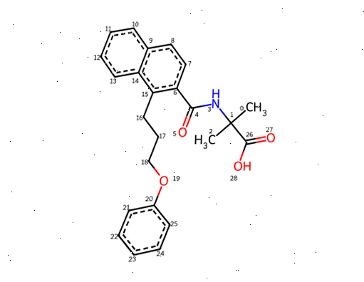 CC(C)(NC(=O)c1ccc2ccccc2c1CCCOc1ccccc1)C(=O)O